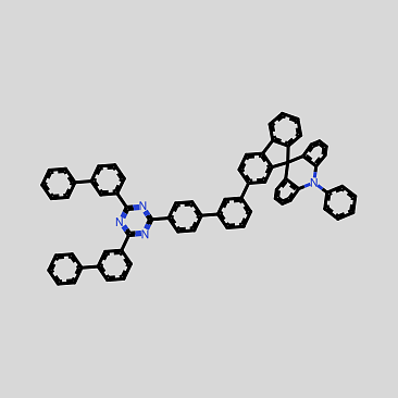 c1ccc(-c2cccc(-c3nc(-c4ccc(-c5cccc(-c6ccc7c(c6)C6(c8ccccc8-7)c7ccccc7N(c7ccccc7)c7ccccc76)c5)cc4)nc(-c4cccc(-c5ccccc5)c4)n3)c2)cc1